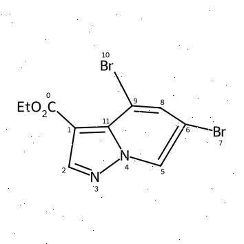 CCOC(=O)c1cnn2cc(Br)cc(Br)c12